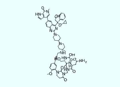 COc1ccc(C#CCNC2(C)CCN(C3CCN(c4nc(C(CO)(OC5CC5)c5ccccc5)c5cc(-c6cn(C)c(=O)c7[nH]ccc67)ccc5n4)CC3)CC2)cc1N1CCC(=O)N(CNC(=O)C(CC(N)=O)NC(=O)C(CO)NC(=O)O)C1=O